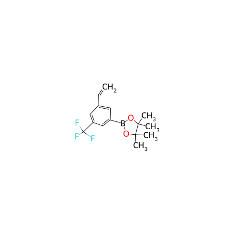 C=Cc1cc(B2OC(C)(C)C(C)(C)O2)cc(C(F)(F)F)c1